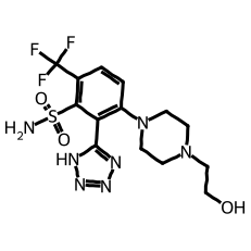 NS(=O)(=O)c1c(C(F)(F)F)ccc(N2CCN(CCO)CC2)c1-c1nnn[nH]1